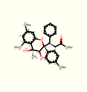 COC(=O)C[C@H](c1ccccc1)[C@@]1(c2ccc(OC)cc2)Oc2cc(OC)cc(OC)c2[C@](C)(O)C1O